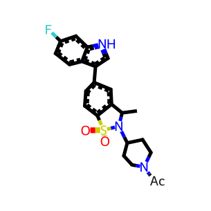 CC(=O)N1CCC(N2C(C)c3cc(-c4c[nH]c5cc(F)ccc45)ccc3S2(=O)=O)CC1